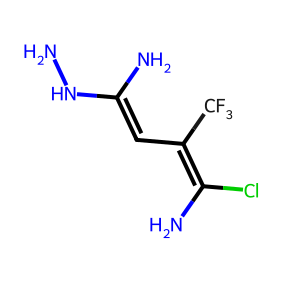 NN/C(N)=C/C(=C(\N)Cl)C(F)(F)F